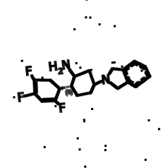 NC1CC(N2Cc3ccccc3C2)CC[C@@H]1C1CC(F)=C(F)C=C1F